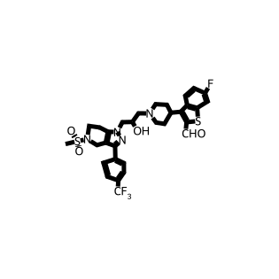 CS(=O)(=O)N1CCc2c(c(-c3ccc(C(F)(F)F)cc3)nn2CC(O)CN2CCC(c3c(C=O)sc4cc(F)ccc34)CC2)C1